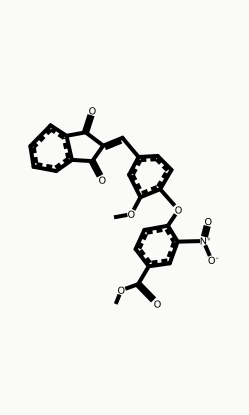 COC(=O)c1ccc(Oc2ccc(C=C3C(=O)c4ccccc4C3=O)cc2OC)c([N+](=O)[O-])c1